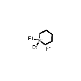 CC[N+]1(CC)CCCCC1.[F-]